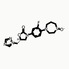 O=C1O[C@@H](Cn2cncn2)CN1c1ccc(N2CCC[S+]([O-])CC2)c(F)c1